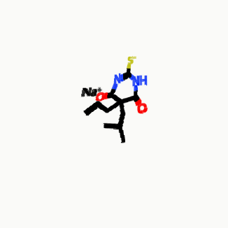 C=CCC1(CC(C)C)C(=O)N=C([S-])NC1=O.[Na+]